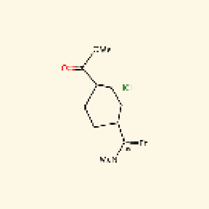 CC[C@@H](NC)C1CCC(C(=O)OC)CC1.Cl